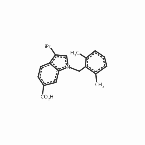 Cc1cccc(C)c1Cn1cc(C(C)C)c2ccc(C(=O)O)cc21